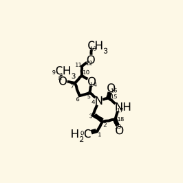 C=Cc1cn(C2CC(OC)C(COC)O2)c(=O)[nH]c1=O